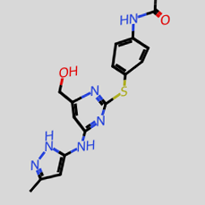 CCC(=O)Nc1ccc(Sc2nc(CO)cc(Nc3cc(C)n[nH]3)n2)cc1